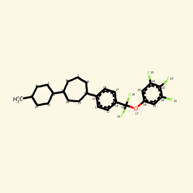 CC1CCC(C2CCCC(c3ccc(C(F)(F)Oc4cc(F)c(F)c(F)c4)cc3)CC2)CC1